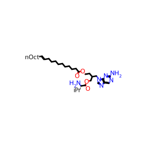 CCCCCCCCC=CCCCCCCCCCC(=O)OCCC(COC(=O)[C@@H](N)C(C)C)Cn1cnc2cnc(N)nc21